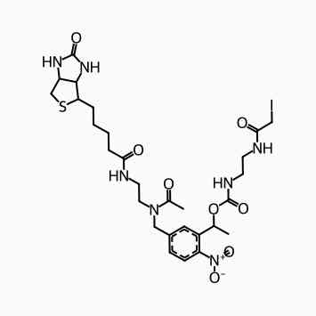 CC(=O)N(CCNC(=O)CCCCC1SCC2NC(=O)NC21)Cc1ccc([N+](=O)[O-])c(C(C)OC(=O)NCCNC(=O)CI)c1